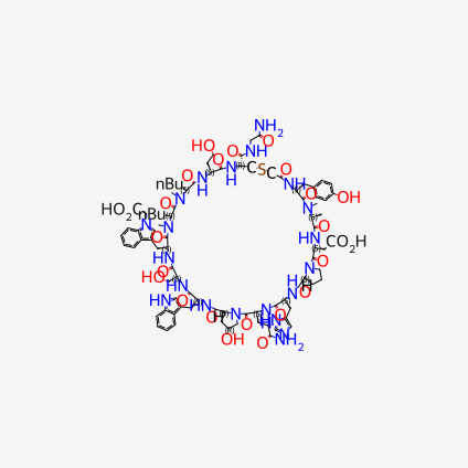 CCCC[C@H]1C(=O)N(C)[C@@H](CCCC)C(=O)N[C@@H](CCO)C(=O)N[C@H](C(=O)NCC(N)=O)CSCC(=O)N[C@@H](Cc2ccc(O)cc2)C(=O)N(C)[C@@H](C)C(=O)N[C@@H](CC(=O)O)C(=O)N2CCC[C@H]2C(=O)N[C@@H](Cc2cnc[nH]2)C(=O)N[C@@H](CCC(N)=O)C(=O)N2C[C@H](O)C[C@H]2C(=O)N[C@@H](Cc2c[nH]c3ccccc23)C(=O)N[C@@H](CO)C(=O)N[C@@H](Cc2cn(CC(=O)O)c3ccccc23)C(=O)N1C